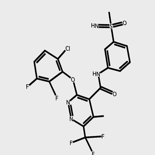 Cc1c(C(F)(F)F)nnc(Oc2c(Cl)ccc(F)c2F)c1C(=O)Nc1cccc(S(C)(=N)=O)c1